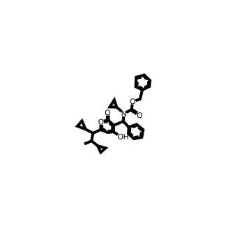 CC(C1CC1)C(c1cc(O)c(C(c2ccccc2)N(C(=O)OCc2ccccc2)C2CC2)c(=O)o1)C1CC1